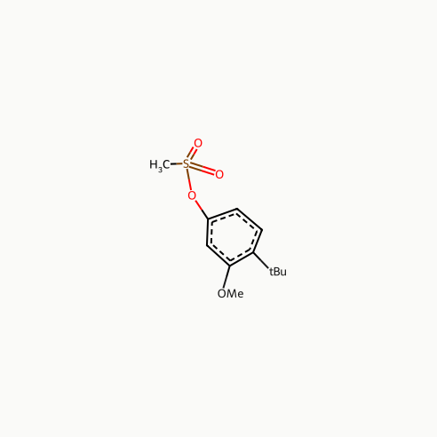 COc1cc(OS(C)(=O)=O)ccc1C(C)(C)C